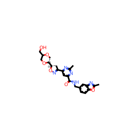 Cc1nc(C(=O)NCc2ccc3oc(C)nc3c2)cc(C2=NO[C@H]([C@H]3COC(CO)CO3)C2)n1